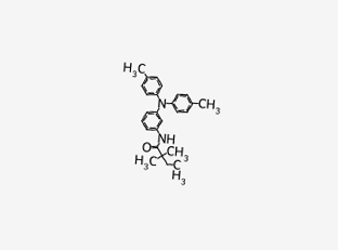 CCC(C)(C)C(=O)Nc1cccc(N(c2ccc(C)cc2)c2ccc(C)cc2)c1